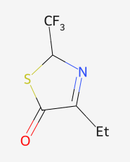 CCC1=NC(C(F)(F)F)SC1=O